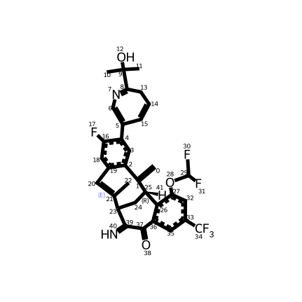 C=C1c2cc(C3=CN=C(C(C)(C)O)CC=C3)c(F)cc2/C=C(\C)C2C[C@H]1c1c(OC(F)F)cc(C(F)(F)F)cc1C(=O)C2=N